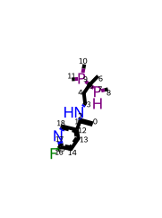 C=C(NCCC(C)(PC)P(C)C)c1ccc(F)nc1